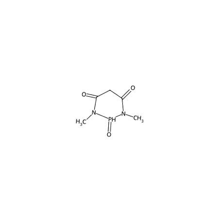 CN1C(=O)CC(=O)N(C)[PH]1=O